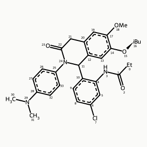 CCC(=O)Nc1cc(Cl)ccc1C1c2cc(O[C@H](C)CC)c(OC)cc2CC(=O)N1c1ccc(N(C)C)cc1